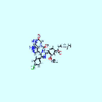 CC(C)(C)Oc1cc(C(=O)CC(=O)O)ccc1C1=N[C@@H](c2ccc(Cl)cc2)[C@@H](c2cn[nH]c2)N1C(=O)N1CCNC(=O)C1